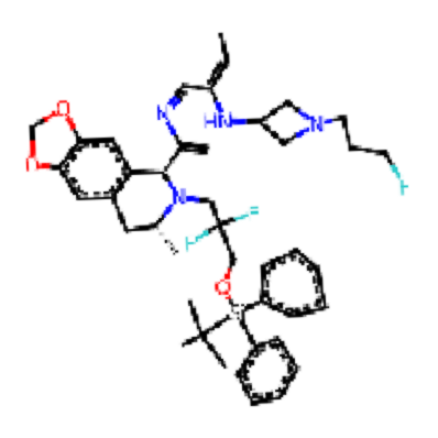 C=C(/N=C\C(=C/C)NC1CN(CCCF)C1)[C@@H]1c2cc3c(cc2C[C@@H](C)N1CC(F)(F)CO[Si](c1ccccc1)(c1ccccc1)C(C)(C)C)OCO3